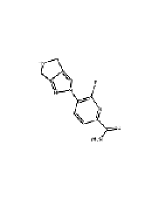 CNC(=O)c1ccc(-n2cc3c(n2)CNC3)c(F)n1